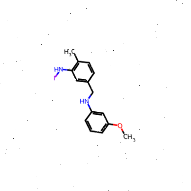 COc1cccc(NCc2ccc(C)c(NI)c2)c1